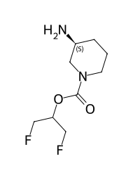 N[C@H]1CCCN(C(=O)OC(CF)CF)C1